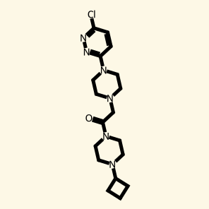 O=C(CN1CCN(c2ccc(Cl)nn2)CC1)N1CCN(C2CCC2)CC1